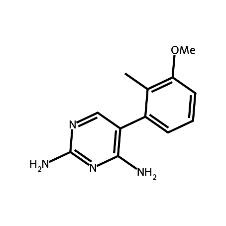 COc1cccc(-c2cnc(N)nc2N)c1C